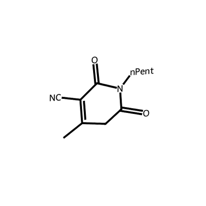 CCCCCN1C(=O)CC(C)=C(C#N)C1=O